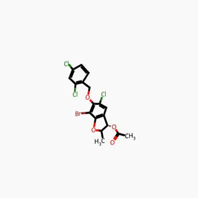 CC(=O)O[C@H]1c2cc(Cl)c(OCc3ccc(Cl)cc3Cl)c(Br)c2OC1C